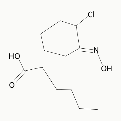 CCCCCC(=O)O.ON=C1CCCCC1Cl